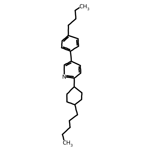 CCCCCC1CCC(c2ccc(-c3ccc(CCCC)cc3)cn2)CC1